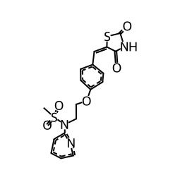 CS(=O)(=O)N(CCOc1ccc(C=C2SC(=O)NC2=O)cc1)c1ccccn1